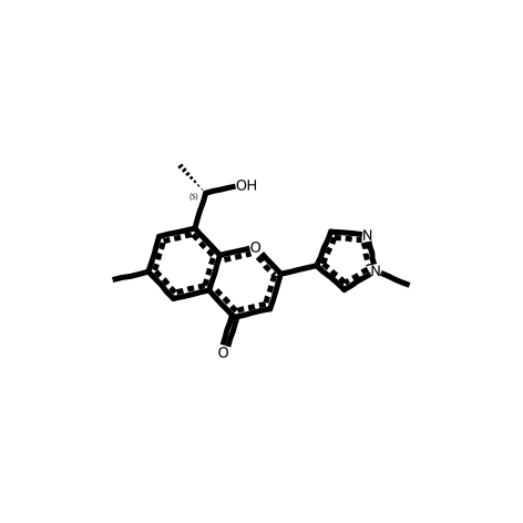 Cc1cc([C@H](C)O)c2oc(-c3cnn(C)c3)cc(=O)c2c1